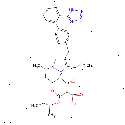 CCCC1=C(Cc2ccc(-c3ccccc3-c3nnn[nH]3)cc2)CN2C(C)CCC(C(=O)C(C(=O)O)C(=O)OC(C)CC)N12